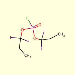 CCC(I)(I)OP(=O)(F)OC(I)(I)CC